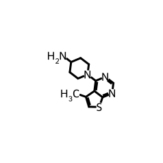 Cc1csc2ncnc(N3CCC(N)CC3)c12